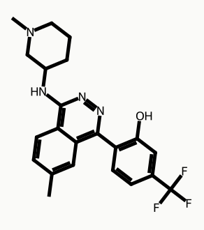 Cc1ccc2c(NC3CCCN(C)C3)nnc(-c3ccc(C(F)(F)F)cc3O)c2c1